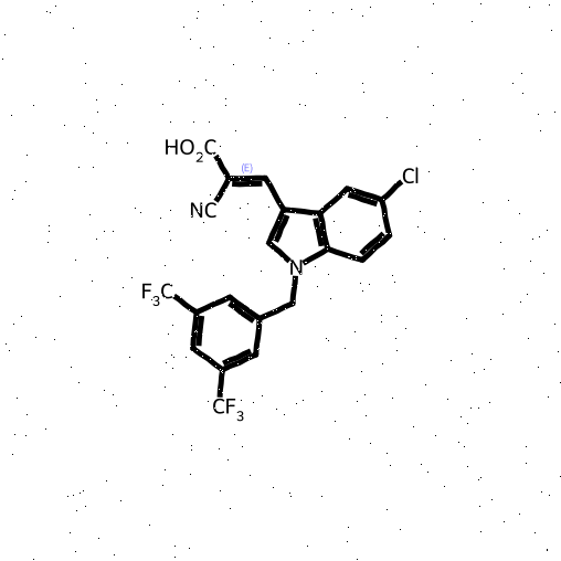 N#C/C(=C\c1cn(Cc2cc(C(F)(F)F)cc(C(F)(F)F)c2)c2ccc(Cl)cc12)C(=O)O